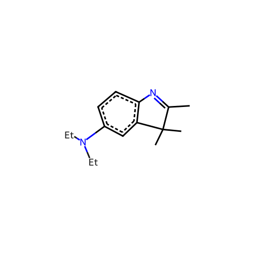 CCN(CC)c1ccc2c(c1)C(C)(C)C(C)=N2